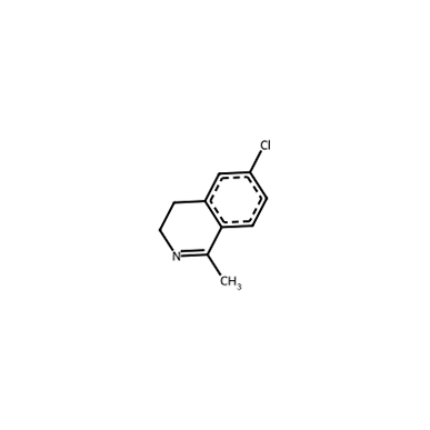 CC1=NCCc2cc(Cl)ccc21